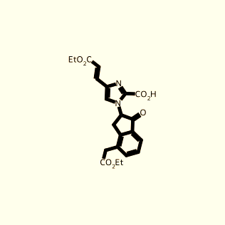 CCOC(=O)C=Cc1cn(C2Cc3c(CC(=O)OCC)cccc3C2=O)c(C(=O)O)n1